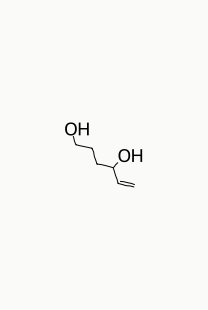 C=CC(O)CCCO